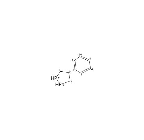 C1CPPC1.c1ccccc1